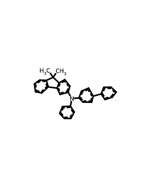 CC1(C)c2ccccc2-c2cc(N(c3ccccc3)c3ccc(-c4ccccc4)cc3)ccc21